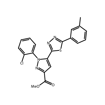 COC(=O)c1cc(-c2nnc(-c3cccc(C)c3)s2)n(-c2ccccc2Cl)n1